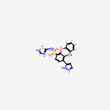 N#Cc1c(-c2ccn[nH]2)ccc(S(=O)(=O)Nc2ncns2)c1Oc1ccccc1